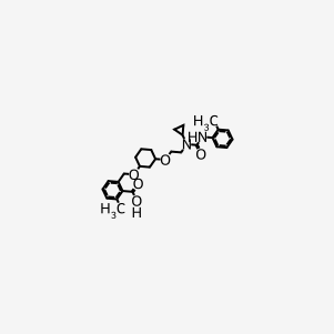 Cc1ccccc1NC(=O)N(CCOC1CCCC(OCc2cccc(C)c2C(=O)O)C1)C1CC1